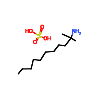 CCCCCCCCCC(C)(C)N.O=S(=O)(O)O